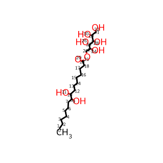 CCCCCCCCC(O)C(O)CCCCCCCC(=O)OC[C@H](O)[C@@H](O)[C@H](O)[C@H](O)CO